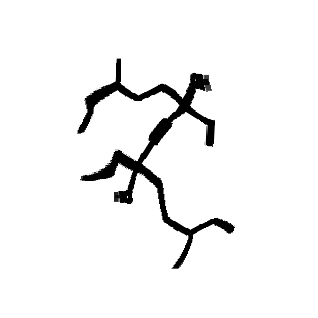 CCC(C)CCC(O)(C#CC(O)(CC)CCC(C)CC)CC